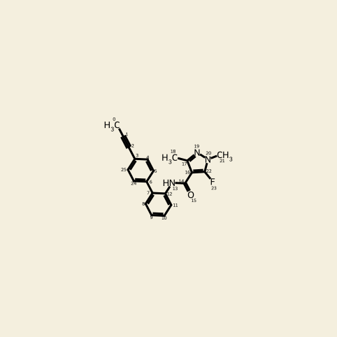 CC#Cc1ccc(-c2ccccc2NC(=O)c2c(C)nn(C)c2F)cc1